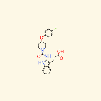 O=C(O)CCc1c(NC(=O)N2CCC(Oc3ccc(F)cc3)CC2)[nH]c2ccccc12